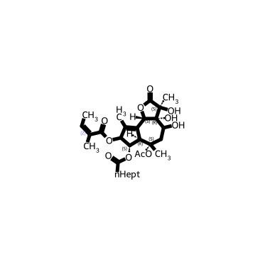 C/C=C(/C)C(=O)OC1C(C)=C2[C@H]([C@@H]1OC(=O)CCCCCCC)[C@@](C)(OC(C)=O)CC(O)[C@@]1(O)[C@H]2OC(=O)[C@@]1(C)O